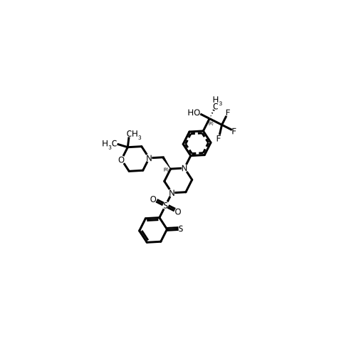 CC1(C)CN(C[C@@H]2CN(S(=O)(=O)C3=CC=CCC3=S)CCN2c2ccc([C@@](C)(O)C(F)(F)F)cc2)CCO1